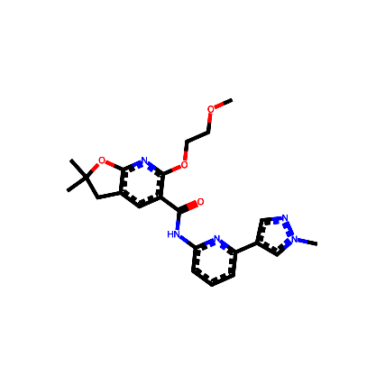 COCCOc1nc2c(cc1C(=O)Nc1cccc(-c3cnn(C)c3)n1)CC(C)(C)O2